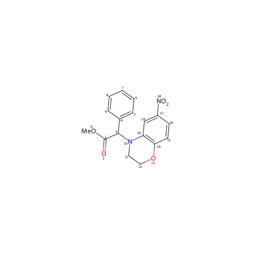 COC(=O)C(c1ccccc1)N1CCOc2ccc([N+](=O)[O-])cc21